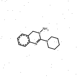 NN1Cc2ccccc2N=C1N1CCCCC1